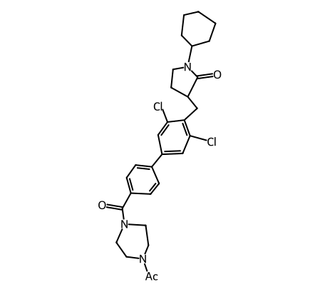 CC(=O)N1CCN(C(=O)c2ccc(-c3cc(Cl)c(CC4CCN(C5CCCCC5)C4=O)c(Cl)c3)cc2)CC1